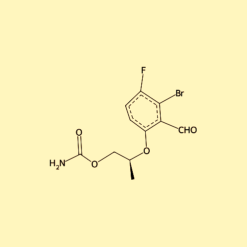 C[C@@H](COC(N)=O)Oc1ccc(F)c(Br)c1C=O